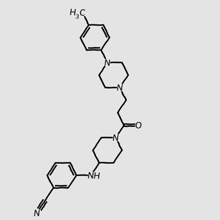 Cc1ccc(N2CCN(CCC(=O)N3CCC(Nc4cccc(C#N)c4)CC3)CC2)cc1